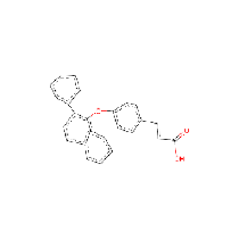 O=C(O)C=Cc1ccc(Oc2c(-c3ccccc3)ccc3ccccc23)cc1